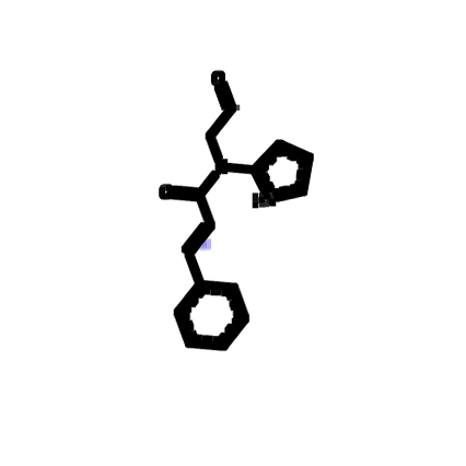 O=[C]CN(C(=O)/C=C/c1ccccc1)c1ccc[nH]1